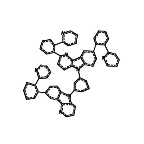 c1ccc(-c2ccccc2-c2ccc3c(c2)c2ncccc2n3-c2cccc(-n3c4ccc(-c5ccccc5-c5ccccn5)cc4c4nc(-c5ccccc5-c5ccccn5)ccc43)c2)nc1